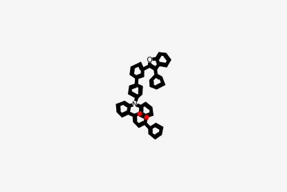 c1ccc(-c2ccc(-c3ccccc3N(c3ccccc3)c3ccc(-c4cccc(-c5oc6ccccc6c5-c5ccccc5)c4)cc3)cc2)cc1